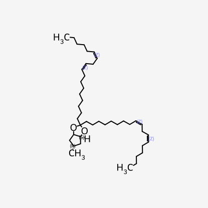 CCCCC/C=C\C/C=C\CCCCCCCCC1(CCCCCCCC/C=C\C/C=C\CCCCC)OC2C[C@@H](C)C[C@@H]2O1